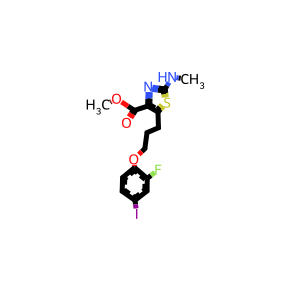 CNc1nc(C(=O)OC)c(CCCOc2ccc(I)cc2F)s1